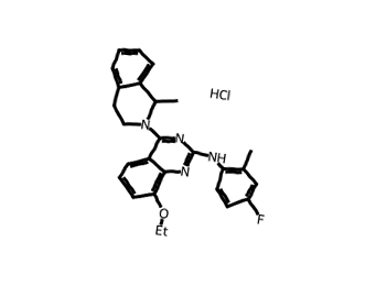 CCOc1cccc2c(N3CCc4ccccc4C3C)nc(Nc3ccc(F)cc3C)nc12.Cl